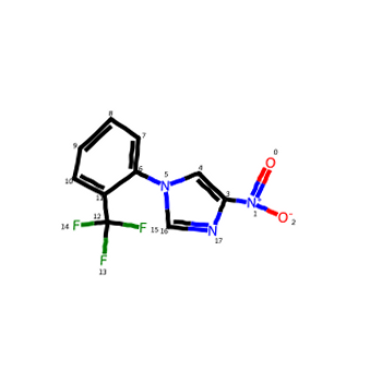 O=[N+]([O-])c1cn(-c2ccccc2C(F)(F)F)cn1